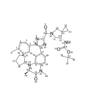 Cc1ccc(-n2nc(C(=O)N3C[C@@H](NC(=O)OC(C)(C)C)C4(CC4)C3)nc2-c2ccc3c(c2)N(C2CCCC2)[C@H](C)C(=O)N3C)cc1